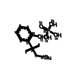 CC(C)(C)CC(C)(C)c1ccccc1O.O=P(O)(O)O